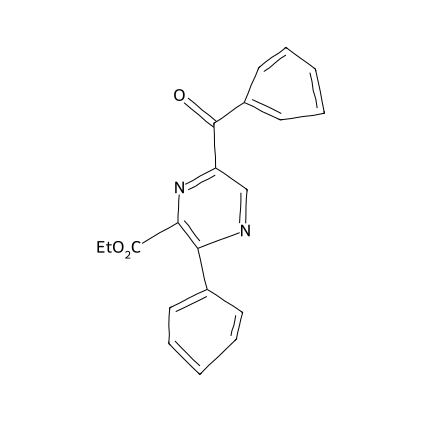 CCOC(=O)c1nc(C(=O)c2ccccc2)cnc1-c1ccccc1